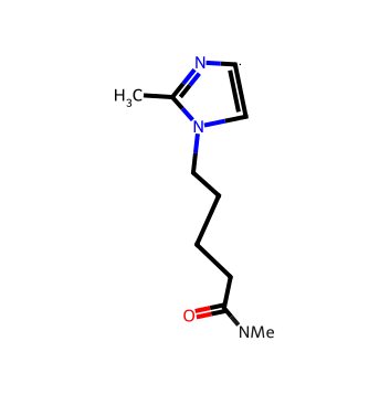 CNC(=O)CCCCn1c[c]nc1C